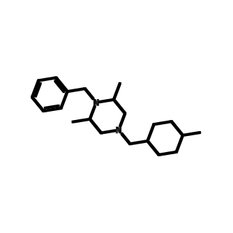 CC1CCC(CN2CC(C)N(Cc3ccccc3)C(C)C2)CC1